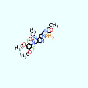 CCN1C(=O)N(c2c(F)c(OC)cc(OC)c2F)Cc2cnc3c(cc(CN4CCOC(C)C4)n3P)c21